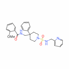 COc1ccccc1C(=O)NCC1(c2ccccc2)CCN(S(=O)(=O)NCc2ccccn2)CC1